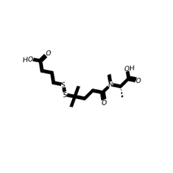 C[C@@H](C(=O)O)N(C)C(=O)CCC(C)(C)SSCCCC(=O)O